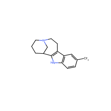 FC(F)(F)c1ccc2[nH]c3c(c2c1)CCN1CCCC3C1